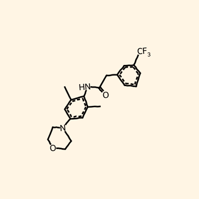 Cc1cc(N2CCOCC2)cc(C)c1NC(=O)Cc1cccc(C(F)(F)F)c1